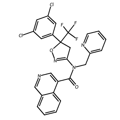 O=C(c1cncc2ccccc12)N(Cc1ccccn1)C1=NOC(c2cc(Cl)cc(Cl)c2)(C(F)(F)F)C1